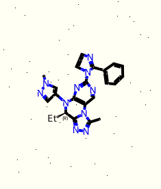 CC[C@@H]1c2nnc(C)n2-c2cnc(-n3ccnc3-c3ccccc3)nc2N1c1cnn(C)c1